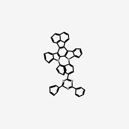 c1ccc(-c2nc(-c3ccccc3)nc(-c3ccc(-n4c5ccccc5c5c6c(c7c8ccccc8n(-c8ccccc8)c7c54)-c4cccc5cccc-6c45)cc3)n2)cc1